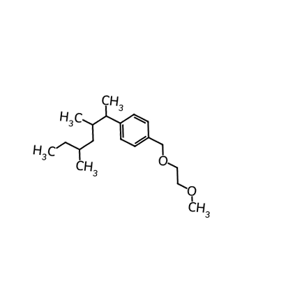 CCC(C)CC(C)C(C)c1ccc(COCCOC)cc1